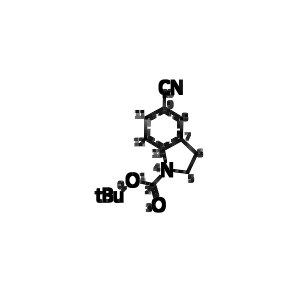 CC(C)(C)OC(=O)N1CCc2cc(C#N)ccc21